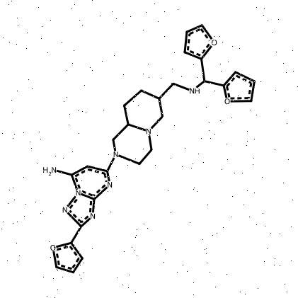 Nc1cc(N2CCN3CC(CNC(c4ccco4)c4ccco4)CCC3C2)nc2nc(-c3ccco3)nn12